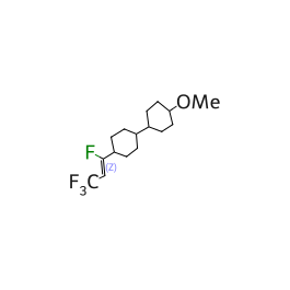 COC1CCC(C2CCC(/C(F)=C/C(F)(F)F)CC2)CC1